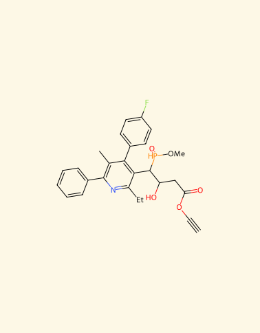 C#COC(=O)CC(O)C(c1c(CC)nc(-c2ccccc2)c(C)c1-c1ccc(F)cc1)[PH](=O)OC